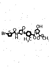 COC(=O)[C@@H]1C[C@@H](O)CN1C(=O)c1ccc(N2CC(NC(=O)c3ccc(Br)s3)CC2=O)cc1C